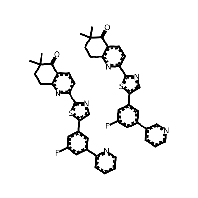 CC1(C)CCc2nc(-c3ncc(-c4cc(F)cc(-c5ccccn5)c4)s3)ccc2C1=O.CC1(C)CCc2nc(-c3ncc(-c4cc(F)cc(-c5cccnc5)c4)s3)ccc2C1=O